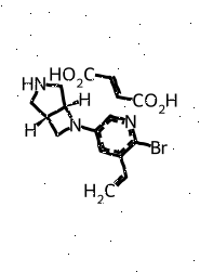 C=Cc1cc(N2C[C@@H]3CNC[C@@H]32)cnc1Br.O=C(O)C=CC(=O)O